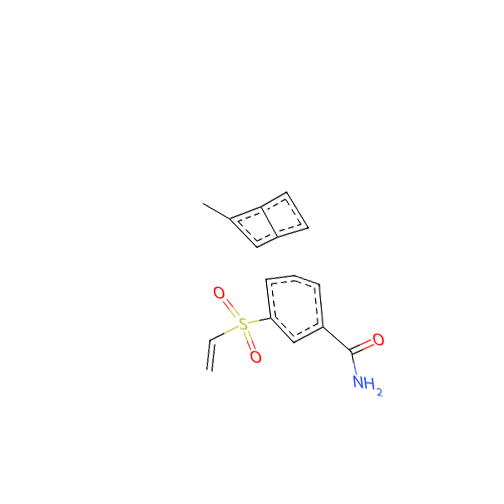 C=CS(=O)(=O)c1cccc(C(N)=O)c1.Cc1cc2ccc1-2